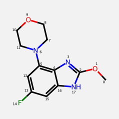 COc1nc2c(N3CCOCC3)cc(F)cc2[nH]1